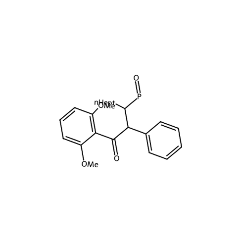 CCCCCCCC(P=O)C(C(=O)c1c(OC)cccc1OC)c1ccccc1